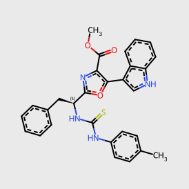 COC(=O)c1nc([C@H](Cc2ccccc2)NC(=S)Nc2ccc(C)cc2)oc1-c1c[nH]c2ccccc12